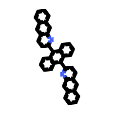 c1ccc2cc3nc(-c4c5ccccc5c(-c5ccc6cc7ccccc7cc6n5)c5ccccc45)ccc3cc2c1